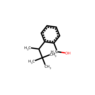 CC(c1ccccc1[SiH2]O)C(C)(C)C